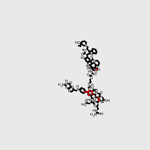 CC[C@]1(O)CCCN(CCc2c([C@@H](C(=O)OC)c3cc4c(cc3OC)N(C)[C@H]3C(O)(C(=O)NNC(=O)OCCSSC[C@H](NC(=O)[C@H](CC(=O)O)NC(=O)[C@H](CC(=O)O)NC(=O)[C@H](CCCNC(=N)N)NC(=O)[C@@H](CC(=O)O)NC(=O)CC[C@H](NC(=O)c5ccc(NCc6cnc7nc(N)[nH]c(=O)c7n6)cc5)C(=O)O)C(=O)O)[C@H](O)[C@]5(CC)CCCN6CC[C@]43C65)[nH]c3ccccc23)C1